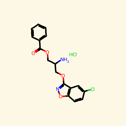 Cl.NC(COC(=O)c1ccccc1)COc1noc2ccc(Cl)cc12